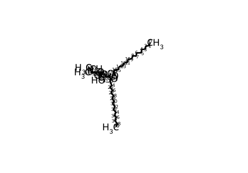 CCCCCCCCCCCCCCCCCC(=O)OC(C(=O)CCCCCCCCCCCCCCCCC)[C@H](CO)OP(=O)([O-])OCC[N+](C)(C)C